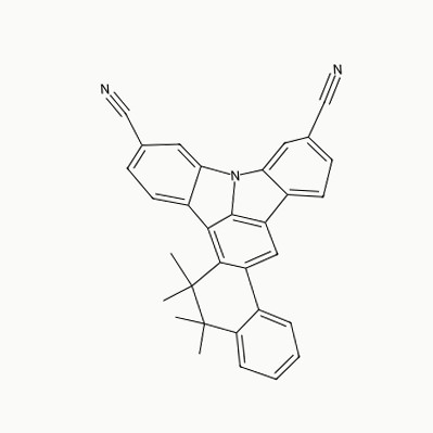 CC1(C)c2ccccc2-c2cc3c4ccc(C#N)cc4n4c5cc(C#N)ccc5c(c2C1(C)C)c34